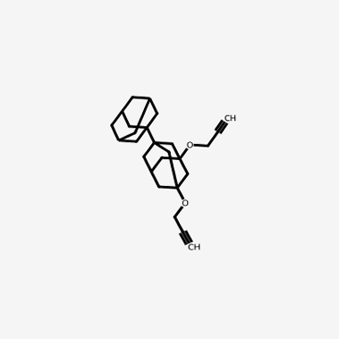 C#CCOC12CC3CC(OCC#C)(C1)CC(C14CC5CC(CC(C5)C1)C4)(C3)C2